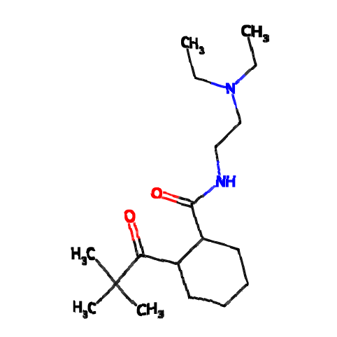 CCN(CC)CCNC(=O)C1CCCCC1C(=O)C(C)(C)C